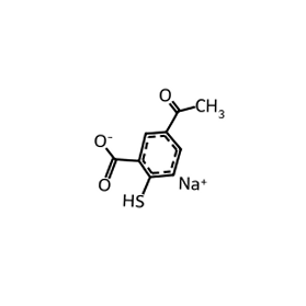 CC(=O)c1ccc(S)c(C(=O)[O-])c1.[Na+]